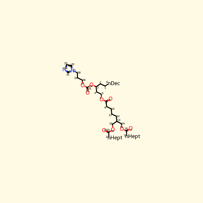 CCCCCCCCCCCCC(CCOC(=O)CCCCC(COC(=O)CCCCCCC)COC(=O)CCCCCCC)OC(=O)OCCCn1ccnc1